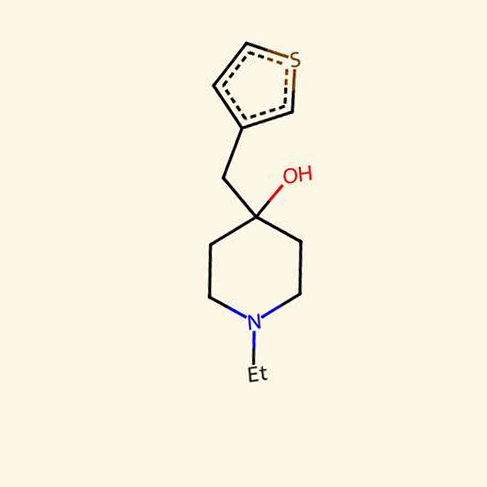 CCN1CCC(O)(Cc2ccsc2)CC1